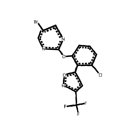 FC(F)(F)c1cc(-c2c(Cl)cccc2Oc2ncc(Br)cn2)on1